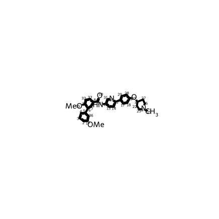 COc1cccc(-c2cc(C(=O)Nc3ccc(-c4ccc(OC5CCN(C)CC5)cc4)nc3)ccc2OC)c1